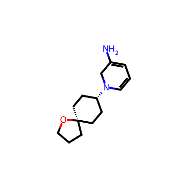 NC1=CC=CN([C@H]2CC[C@@]3(CCCO3)CC2)C1